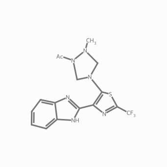 CC(=O)N1CN(c2sc(C(F)(F)F)nc2-c2nc3ccccc3[nH]2)CN1C